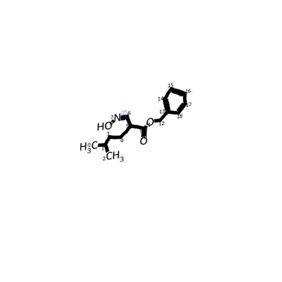 CC(C)CCC(/C=N\O)C(=O)OCc1ccccc1